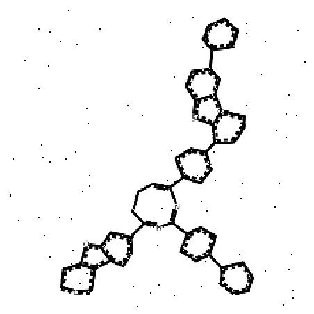 C1=C(c2ccc(-c3cccc4c3sc3ccc(-c5ccccc5)cc34)cc2)/N=C(c2ccc(-c3ccccc3)cc2)\N=C(\c2ccc3c(c2)oc2ccccc23)CC\1